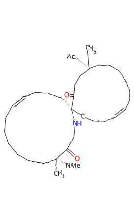 CN[C@]1(C)CCCCCC/C=C\CCC[C@]2(CCC/C=C\CCCCCC[C@@](C)(C(C)=O)CCC2=O)NCC1=O